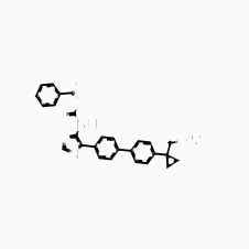 COC(=O)C1(c2ccc(-c3ccc(-c4ncsc4NC(=O)O[C@H](C)c4ccccc4)cc3)cc2)CC1